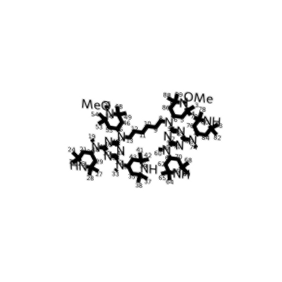 CON1C(C)(C)CC(N(CCCCCCN(c2nc(N(C)C3CC(C)(C)NC(C)(C)C3)nc(N(C)C3CC(C)(C)NC(C)(C)C3)n2)C2CC(C)(C)N(OC)C(C)(C)C2)c2nc(N(C)C3CC(C)(C)NC(C)(C)C3)nc(N(C)C3CC(C)(C)NC(C)(C)C3)n2)CC1(C)C